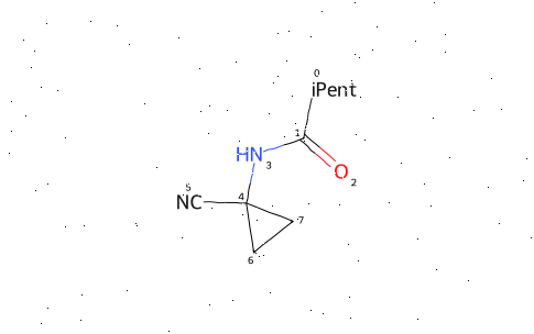 CCCC(C)C(=O)NC1(C#N)CC1